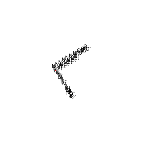 CC[n+]1ccn(C)c1.CC[n+]1ccn(C)c1.CC[n+]1ccn(C)c1.CC[n+]1ccn(C)c1.CC[n+]1ccn(C)c1.CC[n+]1ccn(C)c1.CC[n+]1ccn(C)c1.CC[n+]1ccn(C)c1.CC[n+]1ccn(C)c1.CC[n+]1ccn(C)c1.[O-]B([O-])F.[O-]B([O-])F.[O-]B([O-])F.[O-]B([O-])F.[O-]B([O-])F